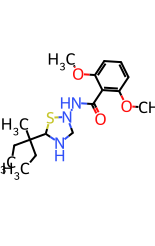 CCC(C)(CC)C1NCN(NC(=O)c2c(OC)cccc2OC)S1